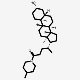 CC1CCN(C(=O)CCC(C)[C@H]2CC[C@H]3[C@@H]4CC[C@H]5C[C@@H](O)CC[C@]5(C)[C@H]4CC[C@]23C)CC1